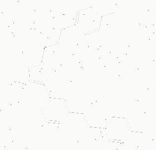 Cc1nc(-c2cncc(C=Cc3ccc(F)cc3)n2)sc1C(=O)NCc1ccc(F)cc1